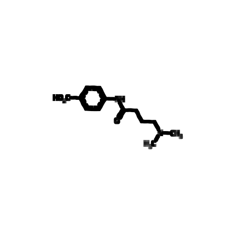 CN(C)CCCC(=O)Nc1ccc(C(=O)O)cc1